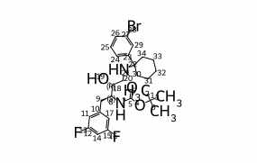 CC(C)(C)OC(=O)N[C@@H](Cc1cc(F)cc(F)c1)[C@H](O)CNC1(c2cccc(Br)c2)CCCCC1